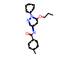 CCCOc1cc(=NC(=O)c2ccc(C)cc2)cnn1-c1ccccc1